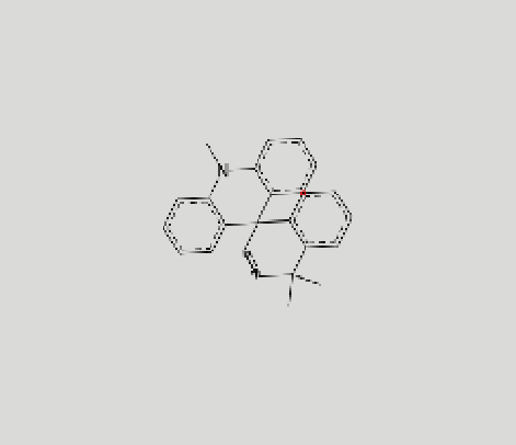 CN1c2ccccc2C2(c3ccccc31)c1ccccc1C(C)(C)c1ccccc12